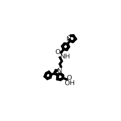 O=C(O)c1ccc2c(-c3ccccc3)cn(CCCCNC(=O)c3ccc(-c4ccccn4)cc3)c2c1